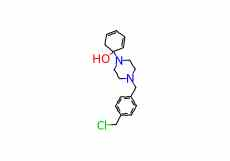 OC1(N2CCN(Cc3ccc(CCl)cc3)CC2)C=CC=CC1